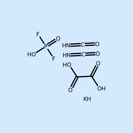 N=C=O.N=C=O.O=C(O)C(=O)O.O=P(O)(F)F.[KH]